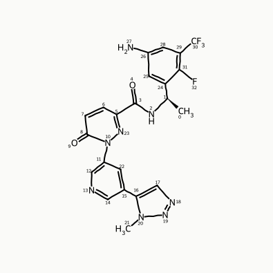 C[C@@H](NC(=O)c1ccc(=O)n(-c2cncc(-c3cnnn3C)c2)n1)c1cc(N)cc(C(F)(F)F)c1F